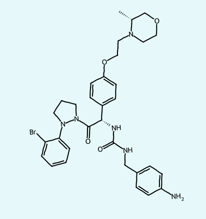 C[C@@H]1COCCN1CCOc1ccc([C@H](NC(=O)NCc2ccc(N)cc2)C(=O)N2CCCN2c2ccccc2Br)cc1